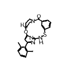 Cc1cccc(C)c1-c1cc2nc(n1)NSc1cccc(c1)C(=O)N1CC[C@H](C1)O2